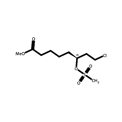 COC(=O)CCCC[C@@H](CCCl)OS(C)(=O)=O